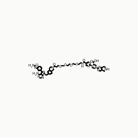 Nc1nc2cc(-c3nn(Cc4ccc5c(c4)CCN(C(=O)CCOCCOCCOCCOCCNC(=O)c4cnc(N6CCN(c7ncc8c(n7)CCNC8)C[C@@H]6C(=O)O)nc4)C5)c4ncnc(N)c34)ccc2o1